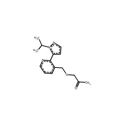 CC(=O)COCc1cccnc1-c1ccnn1C(C)C